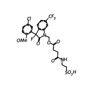 COc1ccc(Cl)cc1C1(F)C(=O)N(COC(=O)CCC(=O)NCCS(=O)(=O)O)c2cc(C(F)(F)F)ccc21